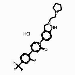 Cl.O=c1cc(-c2ccc(C(F)(F)F)cc2F)ccn1-c1ccc2c(c1)CN(CCN1CCCC1)N2